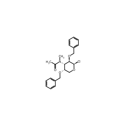 CC(=O)N(C)[C@@H]1[C@@H](OCc2ccccc2)[C@@H](Cl)OC[C@@H]1OCc1ccccc1